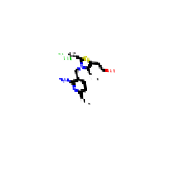 Cc1ccc(C[n+]2c(C)sc(CCO)c2C)c(N)n1.Cl.[Cl-]